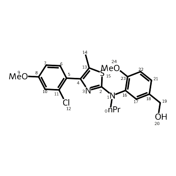 CCCN(c1nc(-c2ccc(OC)cc2Cl)c(C)s1)c1cc(CO)ccc1OC